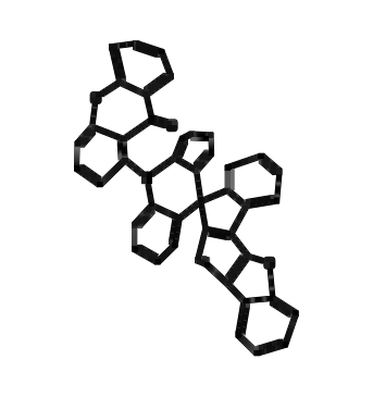 O=c1c2ccccc2oc2cccc(N3c4ccccc4C4(c5ccccc5-c5c4ccc4c5oc5ccccc54)c4ccccc43)c12